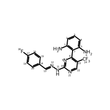 Nc1cccc(N)c1-c1nc(NN=Cc2ccc(F)cc2)ncc1C(F)(F)F